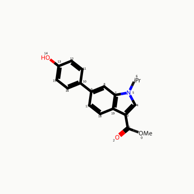 COC(=O)c1cn(C(C)C)c2cc(-c3ccc(O)cc3)ccc12